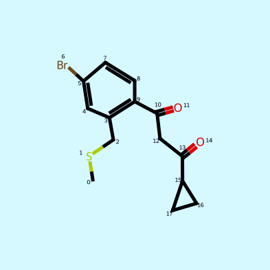 CSCc1cc(Br)ccc1C(=O)CC(=O)C1CC1